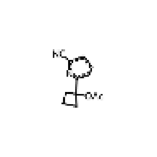 CC(=O)OC1(c2cccc(C#N)n2)CCC1